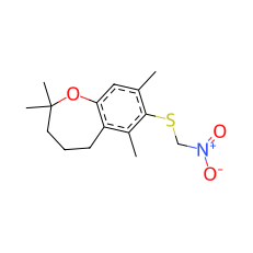 Cc1cc2c(c(C)c1SC[N+](=O)[O-])CCCC(C)(C)O2